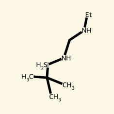 CCNCN[SiH2]C(C)(C)C